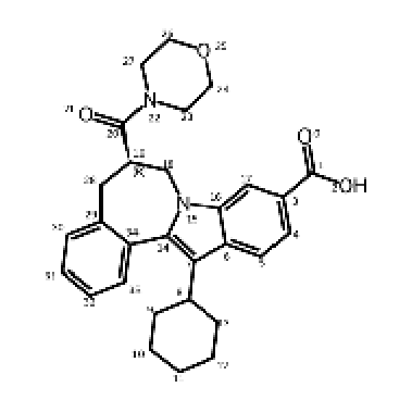 O=C(O)c1ccc2c(C3CCCCC3)c3n(c2c1)C[C@H](C(=O)N1CCOCC1)Cc1ccccc1-3